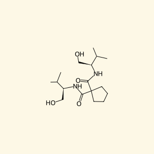 CC(C)[C@H](CO)NC(=O)C1(C(=O)N[C@@H](CO)C(C)C)CCCC1